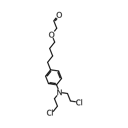 O=CCOCCCCc1ccc(N(CCCl)CCCl)cc1